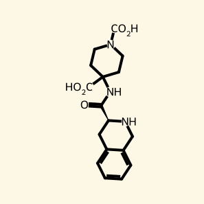 O=C(NC1(C(=O)O)CCN(C(=O)O)CC1)[C@@H]1Cc2ccccc2CN1